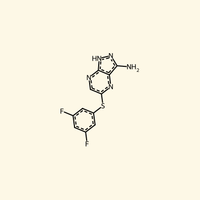 Nc1n[nH]c2ncc(Sc3cc(F)cc(F)c3)nc12